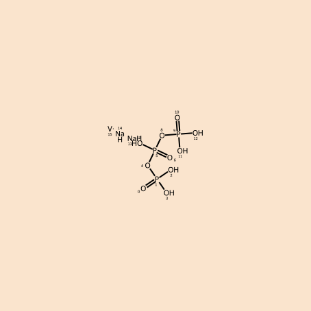 O=P(O)(O)OP(=O)(O)OP(=O)(O)O.[NaH].[NaH].[V]